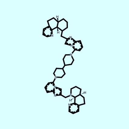 c1cnc2c(c1)CC[C@@H]1CCCN(Cc3cn4c(N5CCC(C6CCN(c7cccc8nc(CC9CCC[C@H]%10CCc%11cccnc%11[C@@H]9%10)cn78)CC6)CC5)cccc4n3)[C@H]21